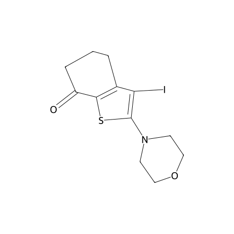 O=C1CCCc2c1sc(N1CCOCC1)c2I